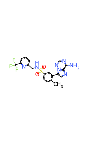 Cc1ccc(S(=O)(=O)NCc2cccc(C(F)(F)F)n2)cc1-c1cnc2c(N)ncnn12